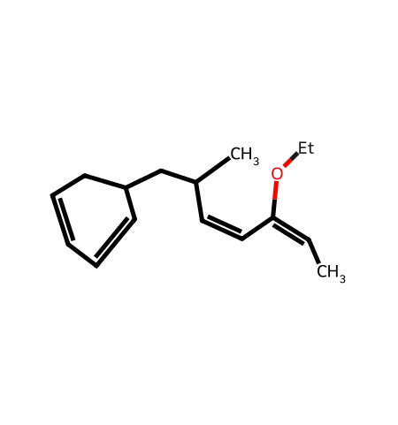 C/C=C(\C=C/C(C)CC1C=CC=CC1)OCC